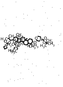 CC[Si](CC)(CC)O[C@H]1[C@H]2O[C@@H]([C@H](OC(=O)N3CCC3)C(C)C)C[C@@H](C)[C@@H]2[C@@]2(C)CC[C@@]34C[C@@]35CC[C@H](O[C@H]3CN(C(=O)OC(C)(C)C)CCO3)C(C)(C)[C@@H]5CC[C@H]4[C@]12C